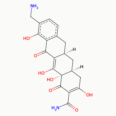 NCc1ccc2c(c1O)C(=O)C1=C(O)[C@]3(O)C(=O)C(C(N)=O)=C(O)C[C@@H]3C[C@@H]1C2